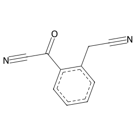 N#CCc1ccccc1C(=O)C#N